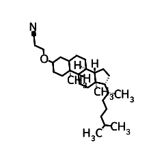 CC(C)CCC[C@@H](C)[C@H]1CC[C@H]2[C@@H]3CCC4CC(OCCC#N)CC[C@]4(C)[C@H]3CC[C@]12C